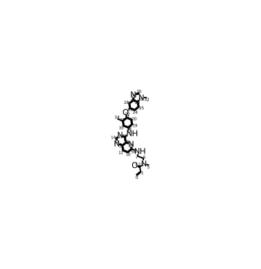 C=CC(=O)N(C)CCNc1ccc2ncnc(Nc3ccc(Oc4ccc5c(c4)ncn5C)c(C)c3)c2n1